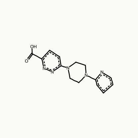 O=C(O)c1ccc(N2CCN(c3ccccn3)CC2)nn1